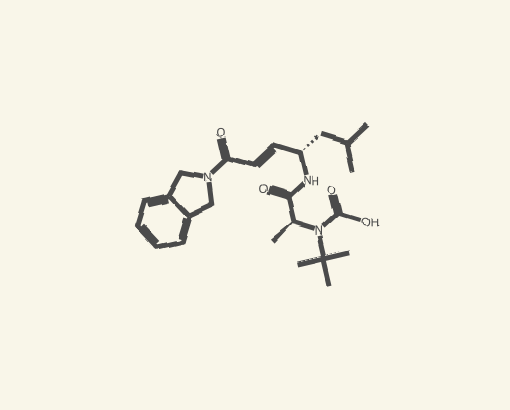 CC(C)C[C@@H](C=CC(=O)N1Cc2ccccc2C1)NC(=O)[C@H](C)N(C(=O)O)C(C)(C)C